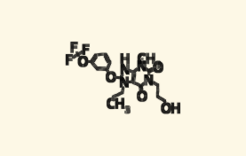 CCCN1c2c(n(C)c(=O)n(CCCO)c2=O)NC1Oc1cccc(OC(F)(F)F)c1